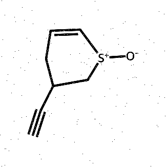 C#CC1CC=C[S+]([O-])C1